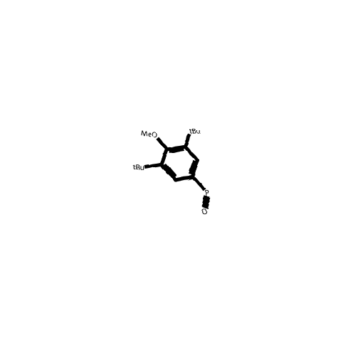 COc1c(C(C)(C)C)cc(P=O)cc1C(C)(C)C